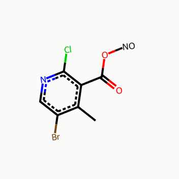 Cc1c(Br)cnc(Cl)c1C(=O)ON=O